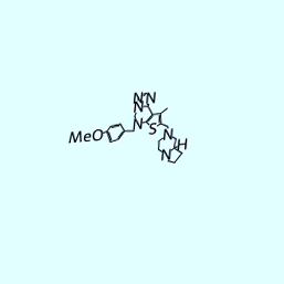 COc1ccc(CN2Cn3ncnc3-c3c2sc(CN2CCN4CCC[C@H]4C2)c3C)cc1